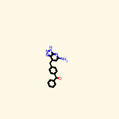 Nc1cc(Cc2ccc(C(=O)c3ccccc3)cc2)c2nn[nH]c2n1